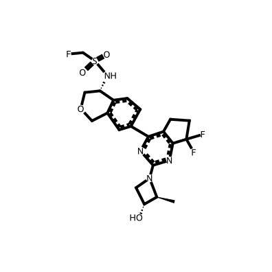 C[C@H]1[C@H](O)CN1c1nc(-c2ccc3c(c2)COC[C@@H]3NS(=O)(=O)CF)c2c(n1)C(F)(F)CC2